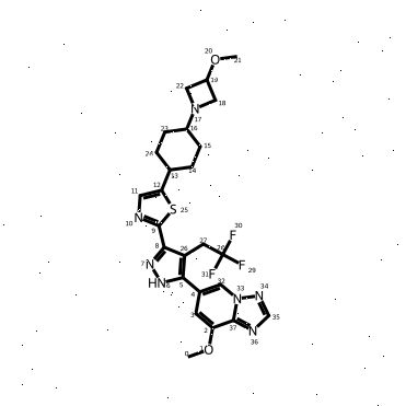 COc1cc(-c2[nH]nc(-c3ncc(C4CCC(N5CC(OC)C5)CC4)s3)c2CC(F)(F)F)cn2ncnc12